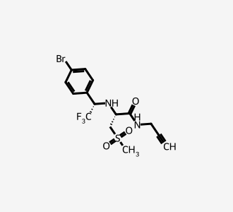 C#CCNC(=O)[C@H](CS(C)(=O)=O)N[C@@H](c1ccc(Br)cc1)C(F)(F)F